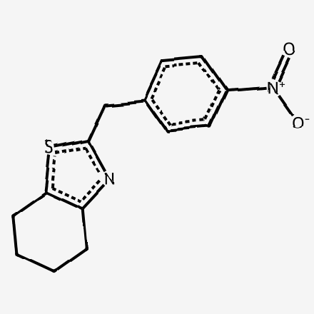 O=[N+]([O-])c1ccc(Cc2nc3c(s2)CCCC3)cc1